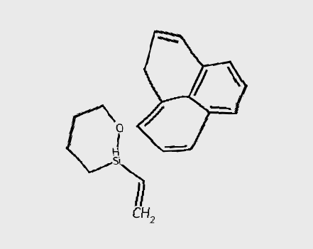 C1=Cc2cccc3cccc(c23)C1.C=C[SiH]1CCCCO1